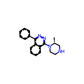 C[C@H]1CNCCN1c1nnc(-c2ccccc2)c2ccccc12